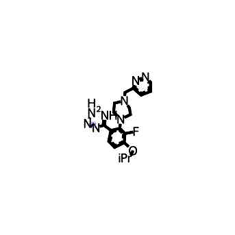 CC(C)Oc1ccc(C(=N)/N=N\N)c(N2CCN(Cc3cccnn3)CC2)c1F